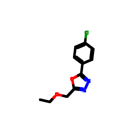 CCOCc1nnc(-c2ccc(Cl)cc2)o1